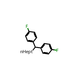 CCCCCCCC(c1ccc(F)cc1)c1ccc(F)cc1